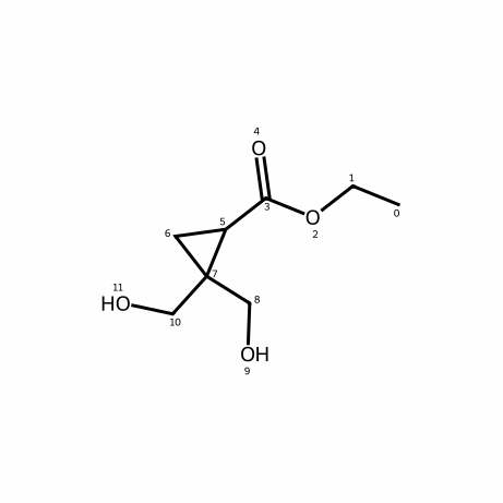 CCOC(=O)C1CC1(CO)CO